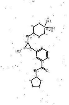 Cl.O=C(NC1CCCC1)c1cccc(C2CC2NC2CCS(O)(O)CC2)c1